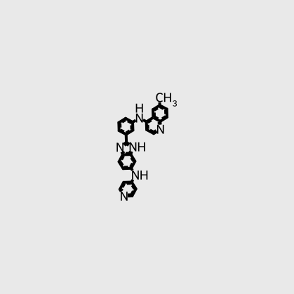 Cc1ccc2nccc(Nc3cccc(-c4nc5ccc(Nc6ccncc6)cc5[nH]4)c3)c2c1